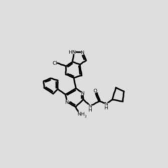 Nc1nc(-c2ccccc2)c(-c2cc(Cl)c3[nH]ncc3c2)nc1NC(=O)NC1CCC1